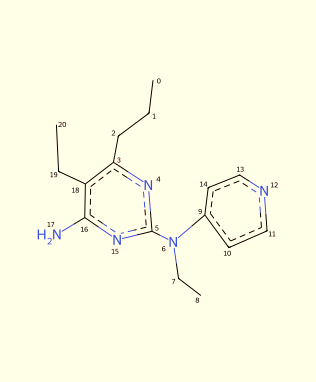 CCCc1nc(N(CC)c2ccncc2)nc(N)c1CC